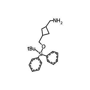 CC(C)(C)[Si](OCC1CC(CN)C1)(c1ccccc1)c1ccccc1